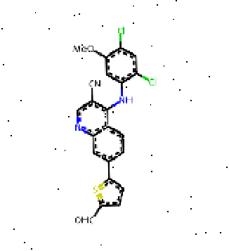 COc1cc(Nc2c(C#N)cnc3cc(-c4ccc(C=O)s4)ccc23)c(Cl)cc1Cl